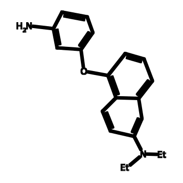 CCN(CC)c1ccc2c(Oc3cccc(N)c3)cccc2c1